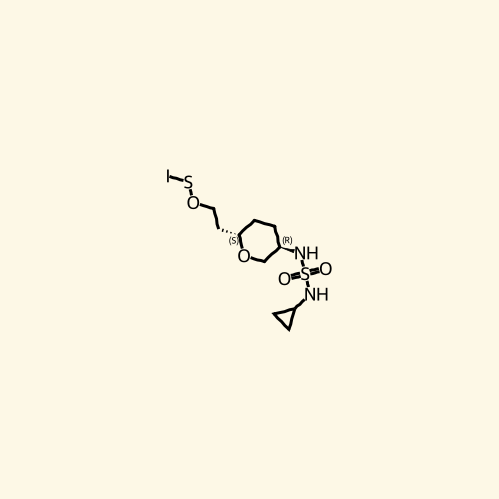 O=S(=O)(NC1CC1)N[C@@H]1CC[C@@H](CCOSI)OC1